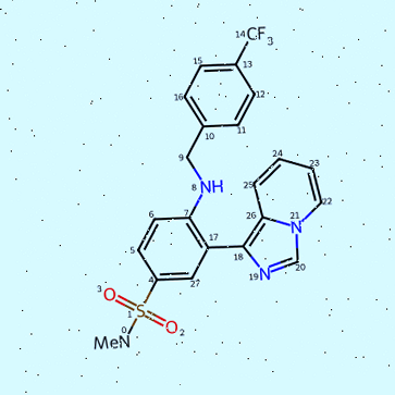 CNS(=O)(=O)c1ccc(NCc2ccc(C(F)(F)F)cc2)c(-c2ncn3ccccc23)c1